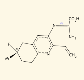 C=Cc1nc2c(cc1/N=C(\C)C(=O)O)C[C@](F)(C(C)C)CC2